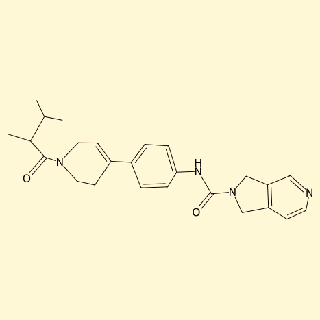 CC(C)C(C)C(=O)N1CC=C(c2ccc(NC(=O)N3Cc4ccncc4C3)cc2)CC1